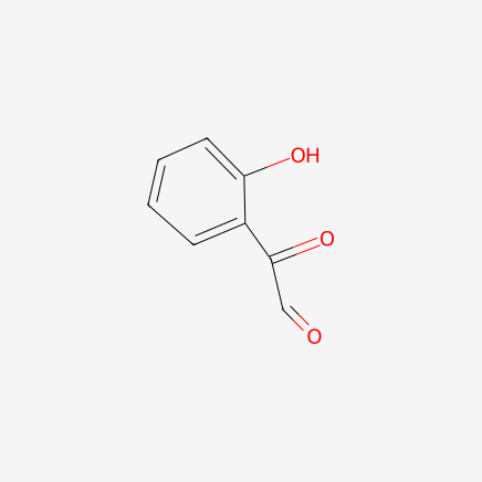 O=CC(=O)c1ccccc1O